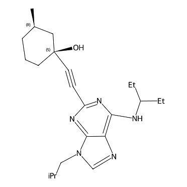 CCC(CC)Nc1nc(C#C[C@]2(O)CCC[C@@H](C)C2)nc2c1ncn2CC(C)C